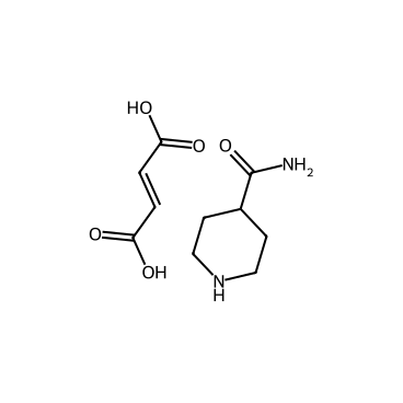 NC(=O)C1CCNCC1.O=C(O)C=CC(=O)O